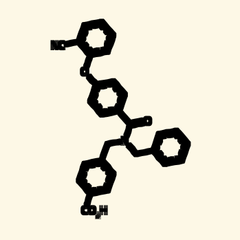 N#Cc1ccccc1Oc1ccc(C(=O)N(Cc2ccccc2)Cc2ccc(C(=O)O)cc2)cc1